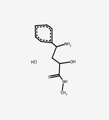 CNC(=S)C(O)CC(N)c1ccccc1.Cl